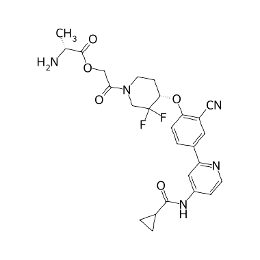 C[C@@H](N)C(=O)OCC(=O)N1CC[C@H](Oc2ccc(-c3cc(NC(=O)C4CC4)ccn3)cc2C#N)C(F)(F)C1